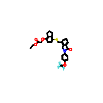 CCOC(=O)COc1ccc(SCc2cccc3c2CN(c2ccc(OC(F)(F)F)cc2)C3=O)c2c1CCC2